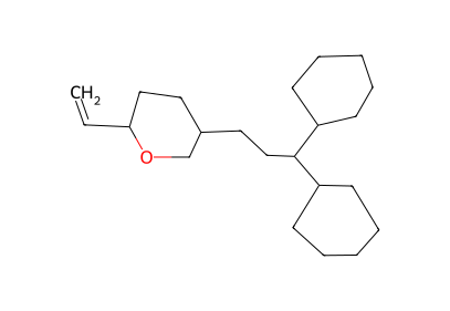 C=CC1CCC(CCC(C2CCCCC2)C2CCCCC2)CO1